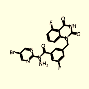 NN(C(=O)c1cc(F)cc(Cn2c(=O)[nH]c(=O)c3c(F)cccc32)c1)c1ncc(Br)cn1